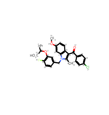 CCCC(Oc1cc(Cn2c(C)c(C(=O)c3ccc(Cl)cc3)c3ccc(OC(F)(F)F)cc32)ccc1F)C(=O)O